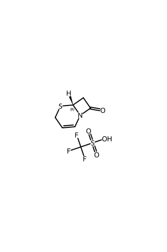 O=C1C[C@H]2SCC=CN12.O=S(=O)(O)C(F)(F)F